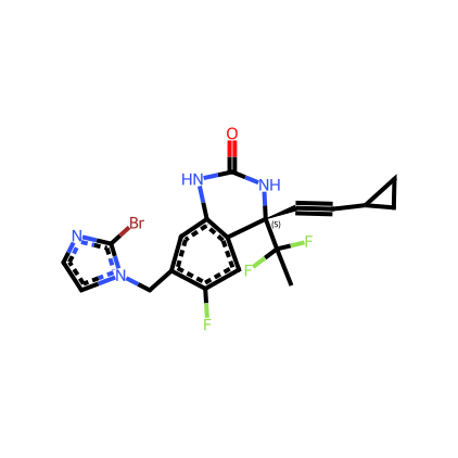 CC(F)(F)[C@@]1(C#CC2CC2)NC(=O)Nc2cc(Cn3ccnc3Br)c(F)cc21